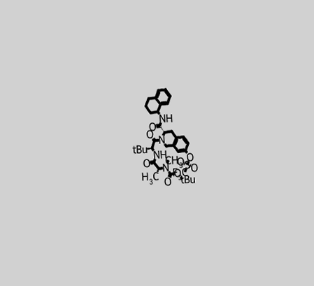 C[C@@H](C(=O)N[C@H](C(=O)N1Cc2cc(OS(=O)(=O)C(F)(F)F)ccc2C[C@H]1C(=O)NC1CCCc2ccccc21)C(C)(C)C)N(C)C(=O)OC(C)(C)C